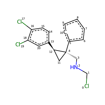 ClCNC[C@]1(c2ccccc2)C[C@H]1c1ccc(Cl)c(Cl)c1